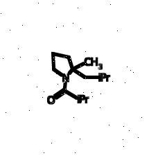 CC(C)CC1(C)CCCN1C(=O)C(C)C